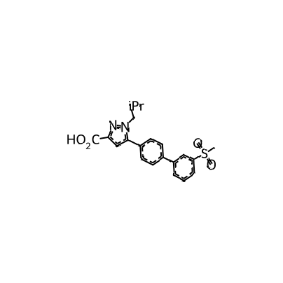 CC(C)Cn1nc(C(=O)O)cc1-c1ccc(-c2cccc(S(C)(=O)=O)c2)cc1